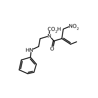 CC=C(C[N+](=O)[O-])C(=O)N(CCNc1ccccc1)C(=O)O